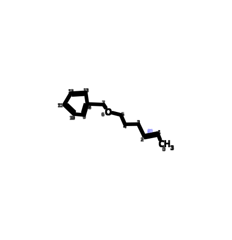 C/C=C/CCCOCc1ccccc1